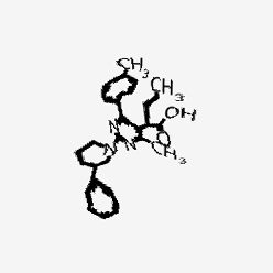 CCCC(C(=O)O)c1c(C)nc(N2CCCC(c3ccccc3)C2)nc1-c1ccc(C)cc1